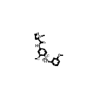 COc1cccc(NS(=O)(=O)c2ccc(NC(=O)c3ccnn3C)cc2OC)c1